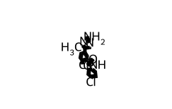 Cc1nc(N)ncc1-c1ccc(Cl)c(S(=O)(=O)Nc2ccc(Cl)cc2)c1